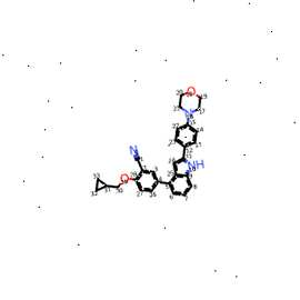 N#Cc1cc(-c2cccc3[nH]c(-c4ccc(N5CCOCC5)cc4)cc23)ccc1OCC1CC1